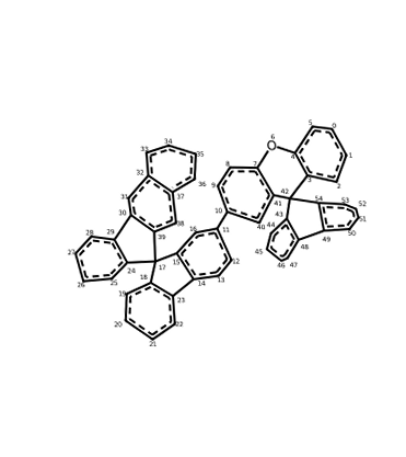 c1ccc2c(c1)Oc1ccc(-c3ccc4c(c3)C3(c5ccccc5-4)c4ccccc4-c4cc5ccccc5cc43)cc1C21c2ccccc2-c2ccccc21